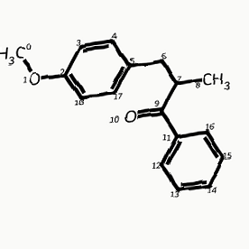 COc1ccc(CC(C)C(=O)c2ccccc2)cc1